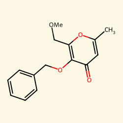 COCc1oc(C)cc(=O)c1OCc1ccccc1